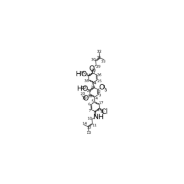 COc1cc(-c2ccc(NCC=C(C)C)c(Cl)c2)c(OC)c(O)c1-c1ccc(OCC=C(C)C)c(O)c1